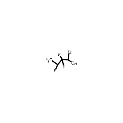 CCC(O)C(F)(F)C(F)C(F)(F)F